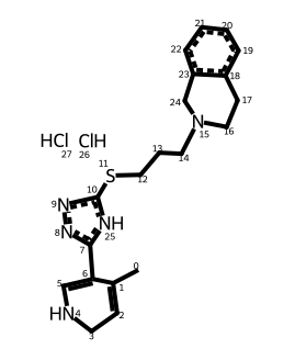 CC1=CCNC=C1c1nnc(SCCCN2CCc3ccccc3C2)[nH]1.Cl.Cl